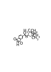 CC1(C)CC([N]C(=O)c2ccc3c(c2)C(=O)NC3=O)CC(C)(C)N1